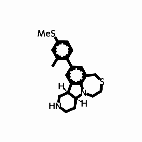 CSc1ccc(-c2cc3c4c(c2)[C@@H]2CNCC[C@@H]2N4CCSC3)c(C)c1